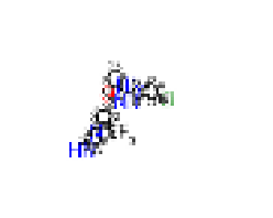 O=C(NC(c1ccccc1)c1cc2cc(Cl)ccc2[nH]1)c1ccc(N2CCNCC2)c(C(F)(F)F)c1